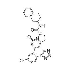 O=C(NC1CCc2ccccc2C1)[C@@H]1CCc2cc(-c3cc(Cl)ccc3-n3cnnn3)cc(=O)n21